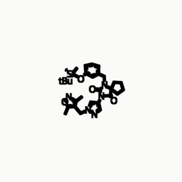 Cc1noc(C)c1Cn1cc(N2C(=O)N(Cc3cccc(O[Si](C)(C)C(C)(C)C)c3)C3(CCCC3)C2=O)cn1